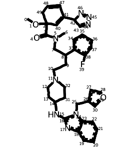 COC1(C(=O)N(C)CC(CCN2CCC(Nc3nc4ccccc4n3Cc3ccoc3)CC2)c2ccccc2F)C=C(C2C=NN=N2)C=CC1